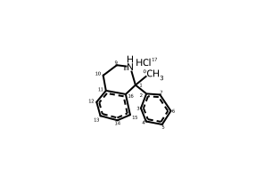 CC1(c2ccccc2)NCCc2ccccc21.Cl